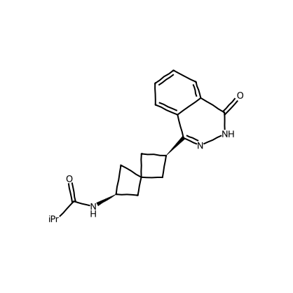 CC(C)C(=O)N[C@H]1CC2(C1)C[C@H](c1n[nH]c(=O)c3ccccc31)C2